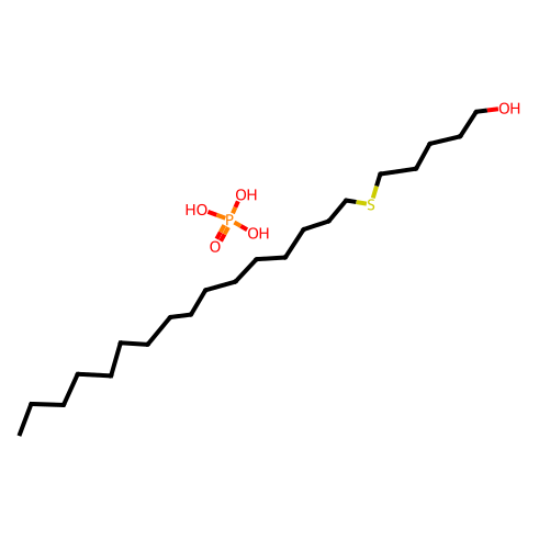 CCCCCCCCCCCCCCCCSCCCCCO.O=P(O)(O)O